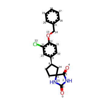 O=C1NC(=O)C2(CC[C@@H](c3ccc(OCc4ccccc4)c(Cl)c3)C2)N1